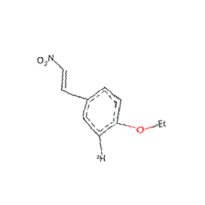 [2H]c1cc(C=C[N+](=O)[O-])ccc1OCC